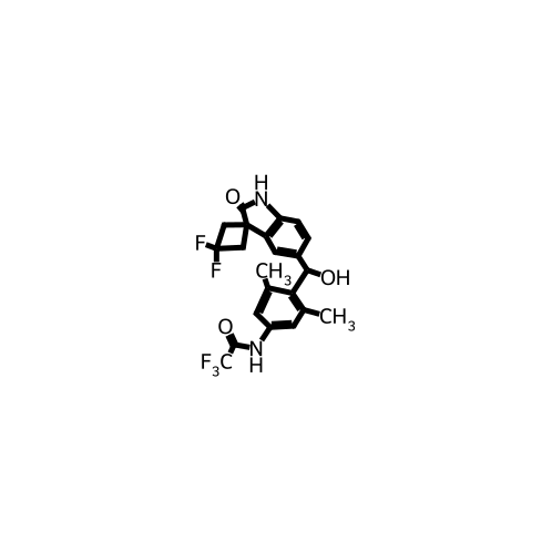 Cc1cc(NC(=O)C(F)(F)F)cc(C)c1C(O)c1ccc2c(c1)C1(CC(F)(F)C1)C(=O)N2